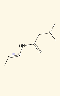 C/C=N/NC(=O)CN(C)C